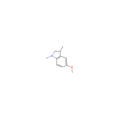 COc1ccc2c(c1)C(C)CN2C